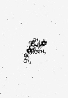 CCOC(=O)Oc1ccc(C[C@H](NCCOC(=O)c2ccccc2)C(=O)OC)cc1OC(=O)OCC